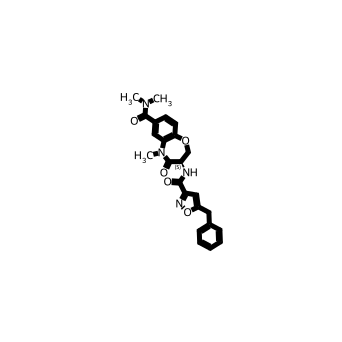 CN(C)C(=O)c1ccc2c(c1)N(C)C(=O)[C@@H](NC(=O)c1cc(Cc3ccccc3)on1)CO2